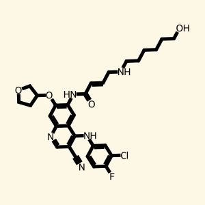 N#Cc1cnc2cc(OC3CCOC3)c(NC(=O)C=CCNCCCCCCO)cc2c1Nc1ccc(F)c(Cl)c1